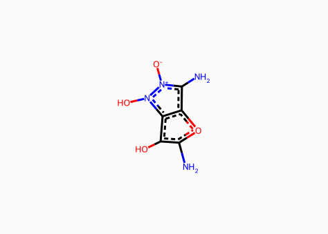 Nc1oc2c(N)[n+]([O-])n(O)c2c1O